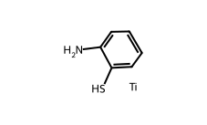 Nc1ccccc1S.[Ti]